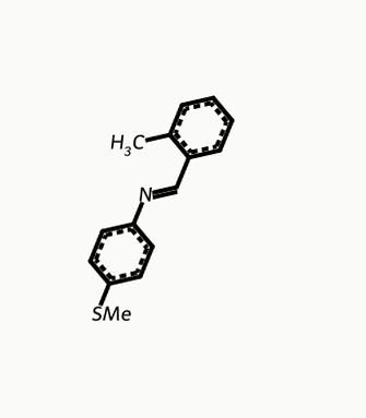 CSc1ccc(/N=C/c2ccccc2C)cc1